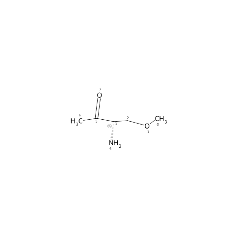 COC[C@H](N)C(C)=O